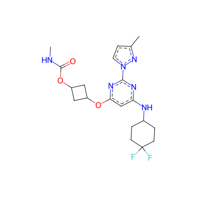 CNC(=O)OC1CC(Oc2cc(NC3CCC(F)(F)CC3)nc(-n3ccc(C)n3)n2)C1